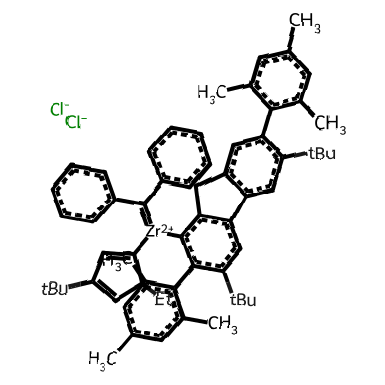 CCC1C=C(C(C)(C)C)C=[C]1[Zr+2](=[C](c1ccccc1)c1ccccc1)[c]1c2c(cc(C(C)(C)C)c1-c1c(C)cc(C)cc1C)-c1cc(C(C)(C)C)c(-c3c(C)cc(C)cc3C)cc1C2.[Cl-].[Cl-]